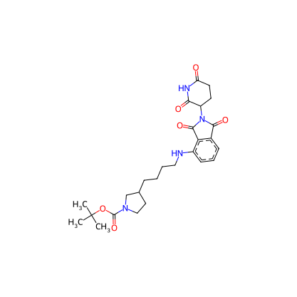 CC(C)(C)OC(=O)N1CCC(CCCCNc2cccc3c2C(=O)N(C2CCC(=O)NC2=O)C3=O)C1